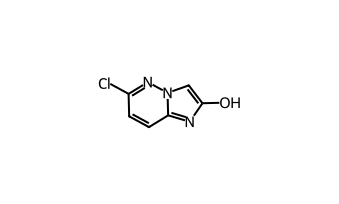 Oc1cn2nc(Cl)ccc2n1